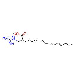 CCCCCCCCCCCCCCC(CNC(=N)N)C(=O)O